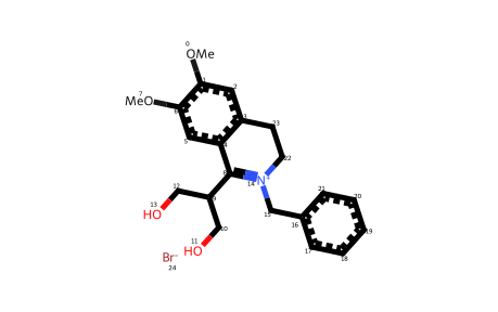 COc1cc2c(cc1OC)C(C(CO)CO)=[N+](Cc1ccccc1)CC2.[Br-]